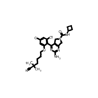 CC(C)(C#N)CCCCOc1cc(Cl)cc(Cl)c1-c1nc(N)nc2c1CN(C(=O)NC1CCC1)C2